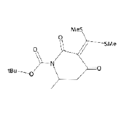 CSC(SC)=C1C(=O)CC(C)N(C(=O)OC(C)(C)C)C1=O